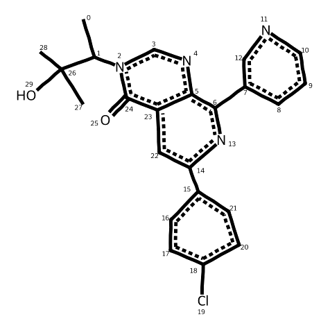 CC(n1cnc2c(-c3cccnc3)nc(-c3ccc(Cl)cc3)cc2c1=O)C(C)(C)O